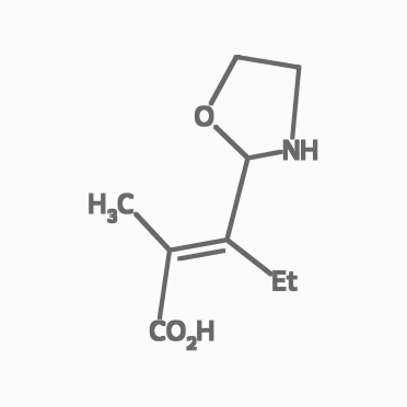 CC/C(=C(/C)C(=O)O)C1NCCO1